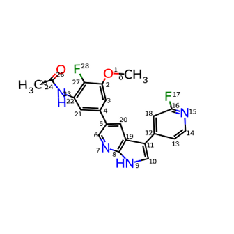 COc1cc(-c2cnc3[nH]cc(-c4ccnc(F)c4)c3c2)cc(NC(C)=O)c1F